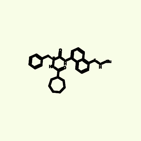 CC(C)(C)NSc1cccc2c(NC(=O)[C@H](Cc3ccccc3)NC(=O)C3CCCCCC3)cccc12